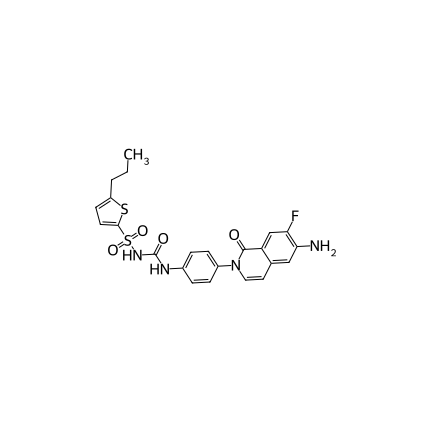 CCCc1ccc(S(=O)(=O)NC(=O)Nc2ccc(-n3ccc4cc(N)c(F)cc4c3=O)cc2)s1